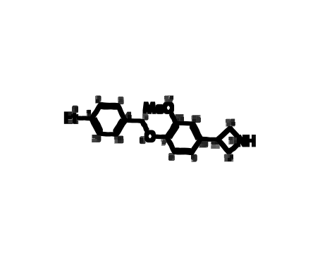 CCc1ccc(COc2ccc(C3CNC3)cc2OC)cc1